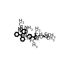 CCc1c(-c2ccc(NC(=O)C(c3nnn(CC)c3C(N)=O)C(C3CCCCC3)C3CCCCC3)nc2F)c(C)nn1COCC[Si](C)(C)C